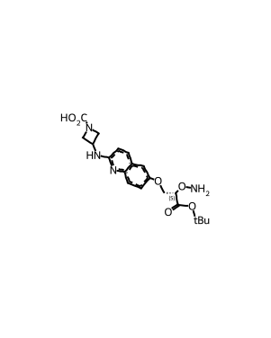 CC(C)(C)OC(=O)[C@H](COc1ccc2nc(NC3CN(C(=O)O)C3)ccc2c1)ON